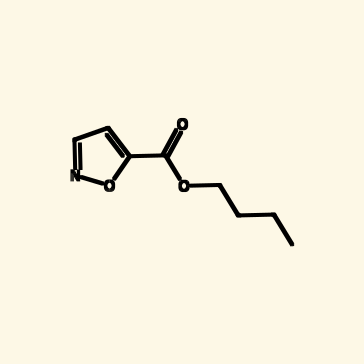 CCCCOC(=O)c1ccno1